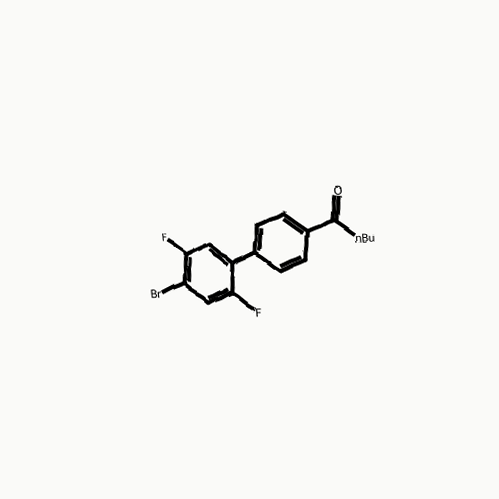 CCCCC(=O)c1ccc(-c2cc(F)c(Br)cc2F)cc1